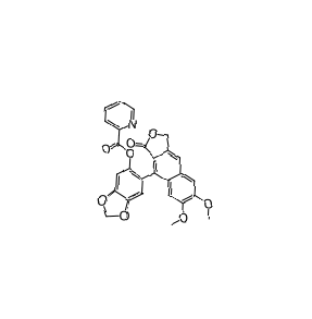 COc1cc2cc3c(c(-c4cc5c(cc4OC(=O)c4ccccn4)OCO5)c2cc1OC)C(=O)OC3